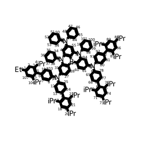 CCc1cc(C(C)C)c(-c2ccc(N(c3ccc(-c4c(C(C)C)cc(C(C)C)cc4C(C)C)cc3)c3ccc4c(c3)N(c3ccccc3)c3cc(N(c5ccccc5)c5ccccc5)cc5c3B4c3ccc(N(c4ccc(-c6c(C(C)C)cc(C(C)C)cc6C(C)C)cc4)c4ccc(-c6c(C(C)C)cc(C(C)C)cc6C(C)C)cc4)cc3N5c3ccccc3)cc2)c(C(C)C)c1